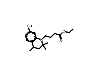 CCOC(=O)CCCN1c2cc(O)ccc2C(C)CC1(C)C